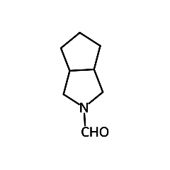 O=CN1CC2CCCC2C1